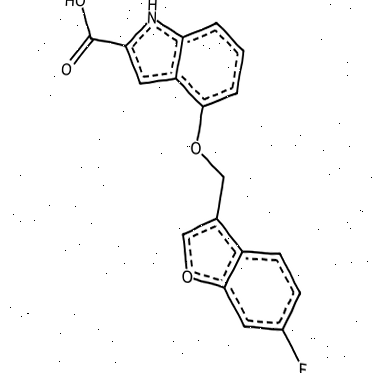 O=C(O)c1cc2c(OCc3coc4cc(F)ccc34)cccc2[nH]1